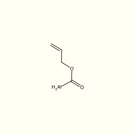 C=CCO[C](=O)[AlH2]